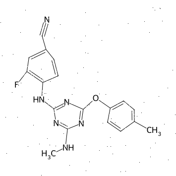 CNc1nc(Nc2ccc(C#N)cc2F)nc(Oc2ccc(C)cc2)n1